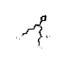 CCCCCCN(CCCCCC)C1[CH]C=C1.[LiH]